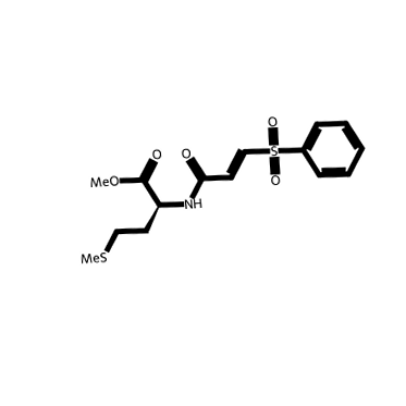 COC(=O)[C@H](CCSC)NC(=O)/C=C/S(=O)(=O)c1ccccc1